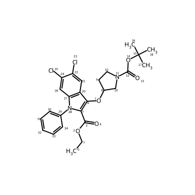 CCOC(=O)c1c(OC2CCN(C(=O)OC(C)(C)C)C2)c2cc(Cl)c(Cl)cc2n1-c1ccccc1